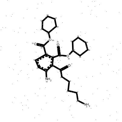 NCCCCCC(=O)c1c(N)ccc(C(=O)OC2CCCCC2)c1C(=O)OC1CCCCC1